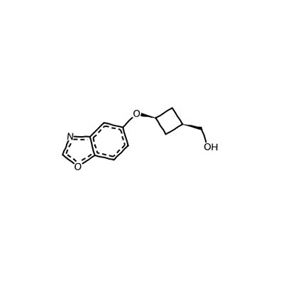 OC[C@H]1C[C@@H](Oc2ccc3ocnc3c2)C1